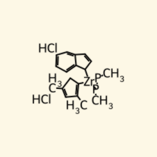 CC1=CC(C)=[C]([Zr]2([CH]3C=Cc4ccccc43)[P](C)[P]2C)C1.Cl.Cl